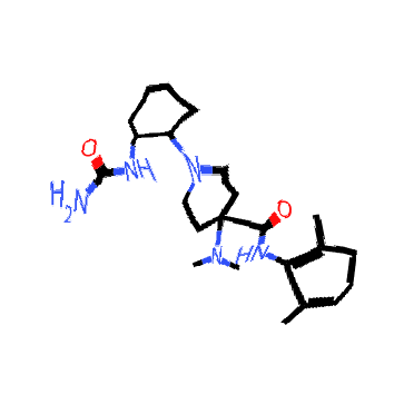 Cc1cccc(C)c1NC(=O)C1(N(C)C)CCN(C2CCCCC2NC(N)=O)CC1